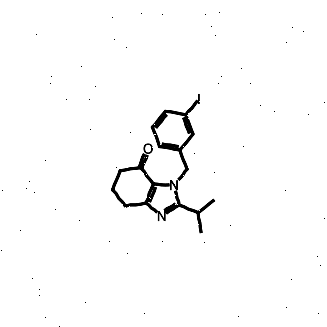 CC(C)c1nc2c(n1Cc1cccc(I)c1)C(=O)CCC2